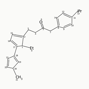 CCC1C(CCC(=O)Cc2ccc(C(C)C)cc2)=CC=C1C1=CC(C)C=C1